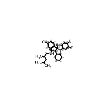 CC(C)CC(C)CNC(=O)C(C1CCCCC1)C1(c2ccc(Cl)cc2)Nc2cc(F)c(F)cc2N1